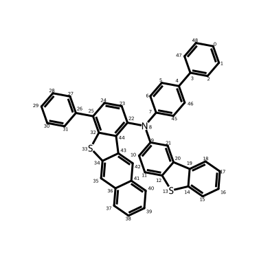 c1ccc(-c2ccc(N(c3ccc4sc5ccccc5c4c3)c3ccc(-c4ccccc4)c4sc5cc6ccccc6cc5c34)cc2)cc1